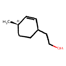 C[C@H]1C=CC(CCO)CC1